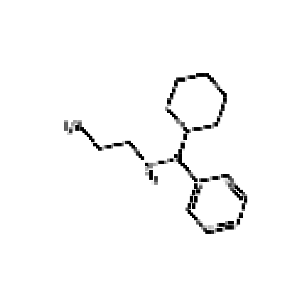 [SiH3]CC[SiH2]N(c1ccccc1)C1CCCCC1